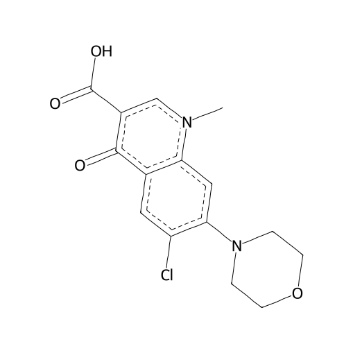 Cn1cc(C(=O)O)c(=O)c2cc(Cl)c(N3CCOCC3)cc21